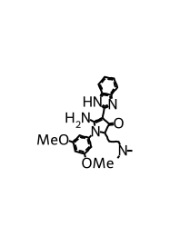 COc1cc(OC)cc(N2C(N)=C(c3nc4ccccc4[nH]3)C(=O)C2CCN(C)C)c1